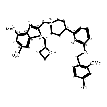 COc1cc(Cl)ccc1COc1cccc(C2CCN(Cc3nc4c(OC)cc(C(=O)O)cc4n3CC3CCO3)CC2)n1